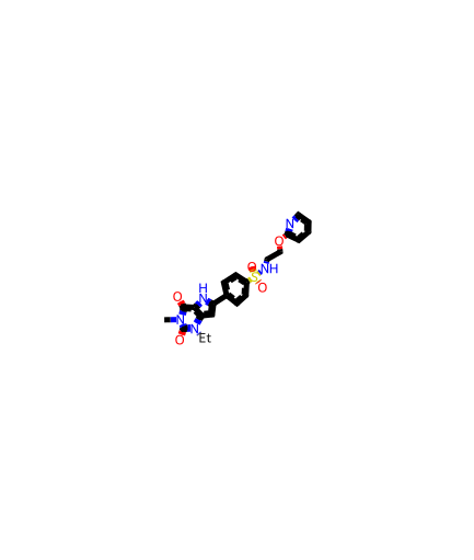 CCn1c(=O)n(C)c(=O)c2[nH]c(-c3ccc(S(=O)(=O)NCCOc4ccccn4)cc3)cc21